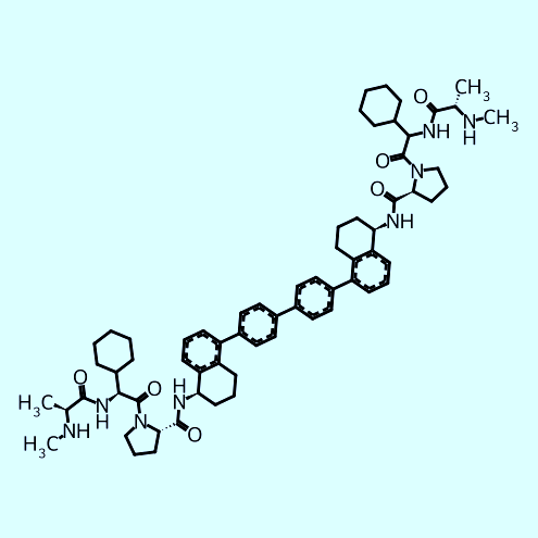 CN[C@@H](C)C(=O)NC(C(=O)N1CCC[C@H]1C(=O)N[C@@H]1CCCc2c(-c3ccc(-c4ccc(-c5cccc6c5CCC[C@H]6NC(=O)[C@@H]5CCCN5C(=O)[C@@H](NC(=O)[C@H](C)NC)C5CCCCC5)cc4)cc3)cccc21)C1CCCCC1